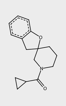 O=C(C1CC1)N1CCCC2(Cc3ccccc3O2)C1